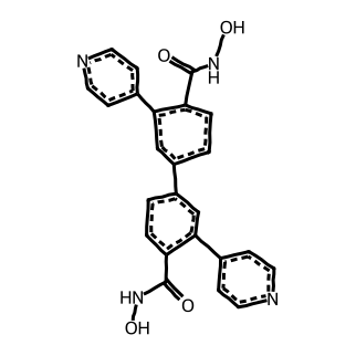 O=C(NO)c1ccc(-c2ccc(C(=O)NO)c(-c3ccncc3)c2)cc1-c1ccncc1